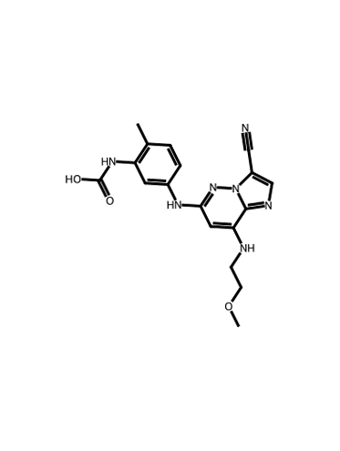 COCCNc1cc(Nc2ccc(C)c(NC(=O)O)c2)nn2c(C#N)cnc12